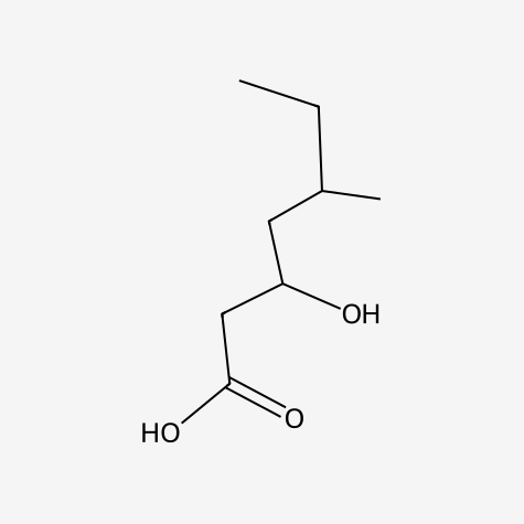 CCC(C)CC(O)CC(=O)O